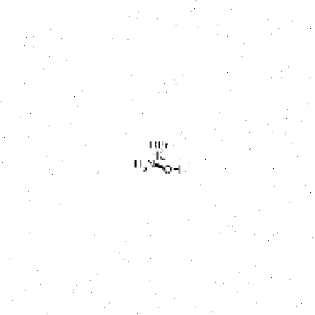 Br.Cl.NO